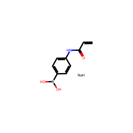 C=CC(=O)Nc1ccc(B(O)O)cc1.[NaH]